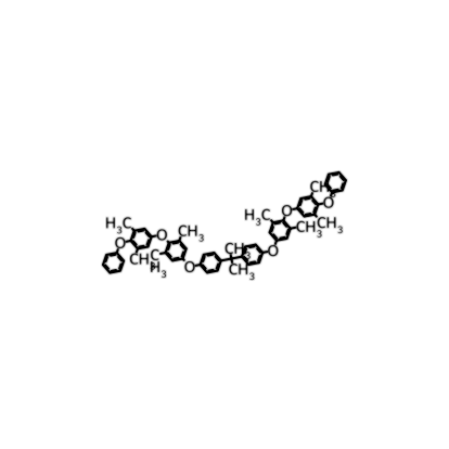 Cc1cc(Oc2ccc(C(C)(C)c3ccc(Oc4cc(C)c(Oc5cc(C)c(Oc6ccccc6)c(C)c5)c(C)c4)cc3)cc2)cc(C)c1Oc1cc(C)c(Oc2ccccc2)c(C)c1